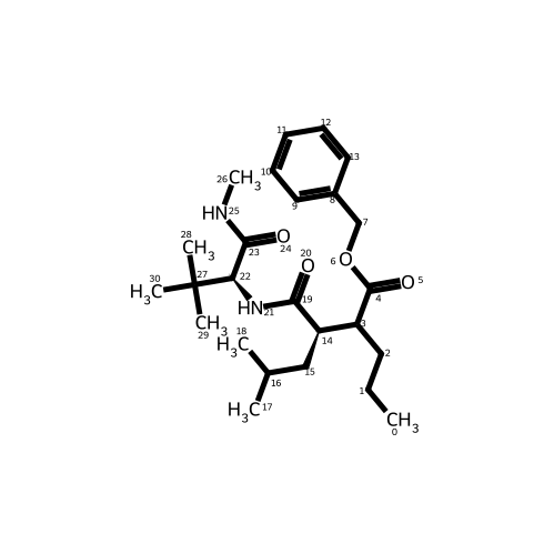 CCCC(C(=O)OCc1ccccc1)[C@@H](CC(C)C)C(=O)N[C@H](C(=O)NC)C(C)(C)C